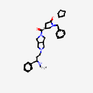 C1CCCC1.O=C(O)NC(CCN1CC2CN(C(=O)[C@H]3CC(=O)N(Cc4ccccc4)C3)CC2C1)c1ccccc1